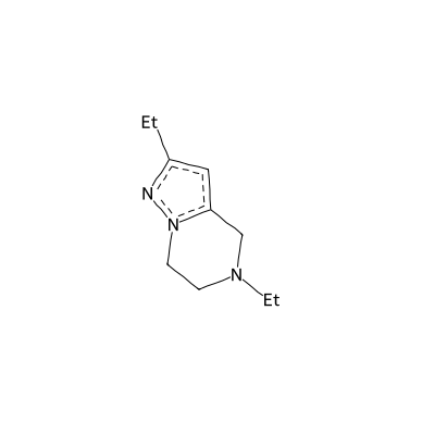 CCc1cc2n(n1)CCN(CC)C2